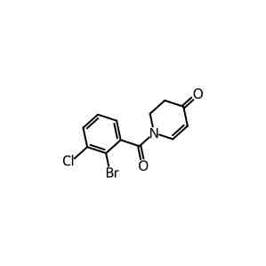 O=C1C=CN(C(=O)c2cccc(Cl)c2Br)CC1